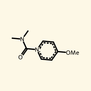 COc1cc[n+](C(=O)N(C)C)cc1